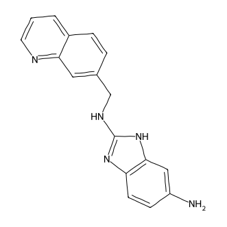 Nc1ccc2nc(NCc3ccc4cccnc4c3)[nH]c2c1